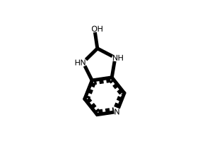 OC1Nc2ccncc2N1